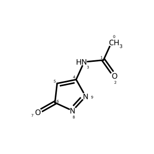 CC(=O)NC1=CC(=O)N=N1